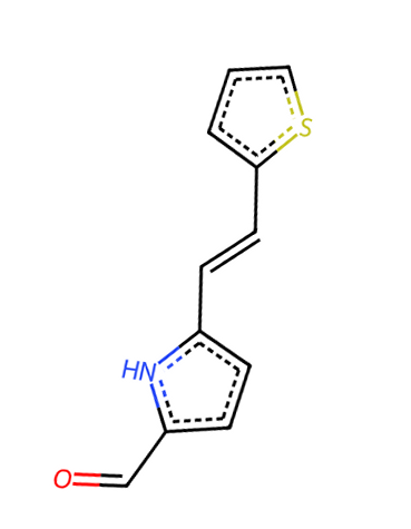 O=Cc1ccc(C=Cc2cccs2)[nH]1